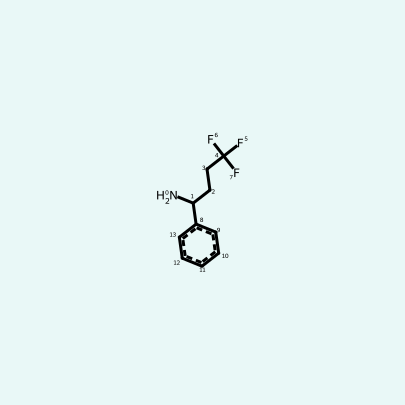 NC(CCC(F)(F)F)c1ccccc1